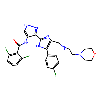 O=C(Nc1c[nH]nc1-c1nc(CNCCN2CCOCC2)c(-c2ccc(F)cc2)[nH]1)c1c(F)cccc1F